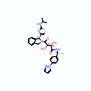 CC(C)Nc1nc([C@@H]2c3ccccc3CN2C(=O)[C@H](O)[C@@H](O)C(=O)N[C@H](C)c2ccc(-n3cccn3)cc2)cs1